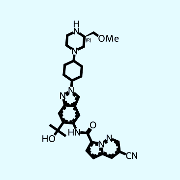 COC[C@H]1CN(C2CCC(n3cc4cc(NC(=O)c5ccc6cc(C#N)cnn56)c(C(C)(C)O)cc4n3)CC2)CCN1